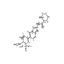 Nc1ncc(-c2ccc3nc(NC(=O)C4CCCCN4)cn3c2)cc1C(F)(F)F